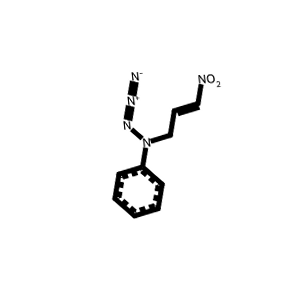 [N-]=[N+]=NN(CC=C[N+](=O)[O-])c1ccccc1